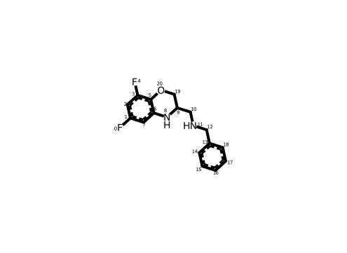 Fc1cc(F)c2c(c1)NC(CNCc1ccccc1)CO2